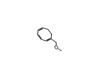 COC/C1=C/C=C\C=C/CC1